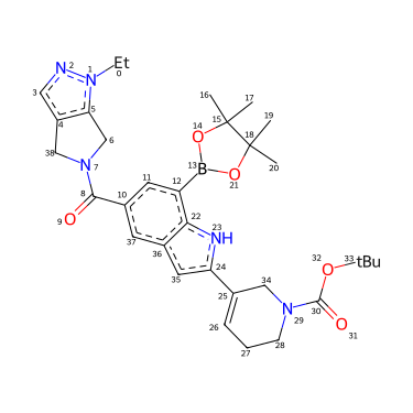 CCn1ncc2c1CN(C(=O)c1cc(B3OC(C)(C)C(C)(C)O3)c3[nH]c(C4=CCCN(C(=O)OC(C)(C)C)C4)cc3c1)C2